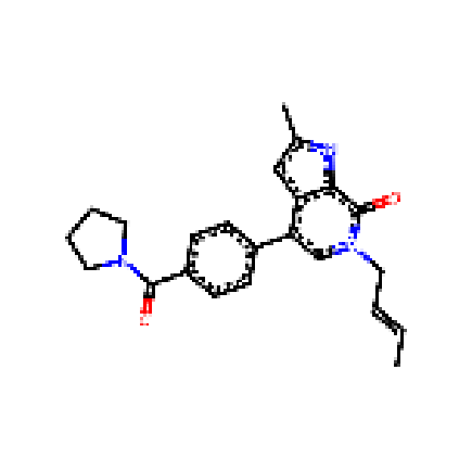 C/C=C/Cn1cc(-c2ccc(C(=O)N3CCCC3)cc2)c2cc(C)[nH]c2c1=O